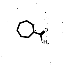 NC(=O)C1[CH]CCCCC1